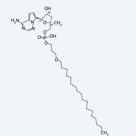 CCCCCCCCCCCCCCCCCCOCCCOP(=O)(O)OC[C@]1(C)C[C@@H](O)[C@H](c2ccc3c(N)ncnn23)O1